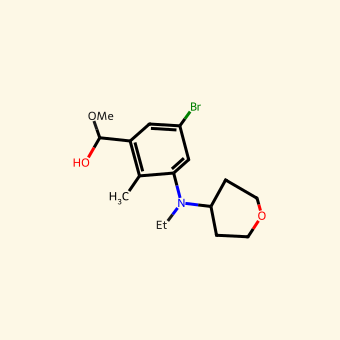 CCN(c1cc(Br)cc(C(O)OC)c1C)C1CCOCC1